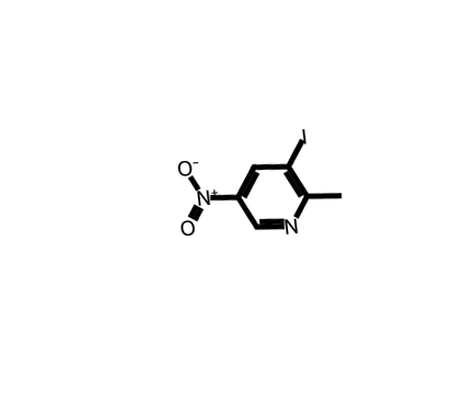 Cc1ncc([N+](=O)[O-])cc1I